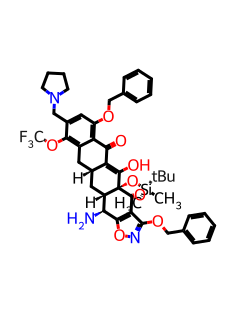 CC(C)(C)[Si](C)(C)O[C@@]12C(=O)c3c(OCc4ccccc4)noc3[C@@H](N)[C@@H]1C[C@@H]1Cc3c(OC(F)(F)F)c(CN4CCCC4)cc(OCc4ccccc4)c3C(=O)C1=C2O